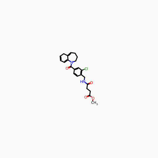 COC(=O)CCC(=O)NCc1ccc(C(=O)N2CCCC=C3CC=CC=C32)cc1Cl